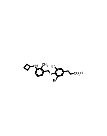 Cc1c(COc2c(Br)cc(CCC(=O)O)cc2Br)cccc1NC1CCC1